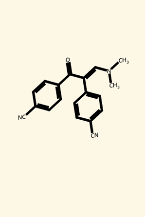 CN(C)C=C(C(=O)c1ccc(C#N)cc1)c1ccc(C#N)cc1